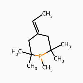 CC=C1CC(C)(C)P(C)C(C)(C)C1